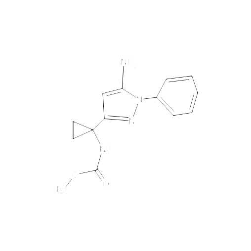 CC(C)(C)OC(=O)NC1(c2cc(N)n(-c3ccccc3)n2)CC1